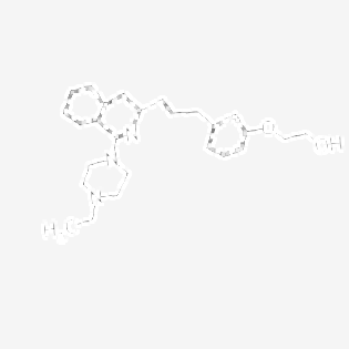 CCN1CCN(c2nc(C=CCc3cccc(OCCO)c3)cc3ccccc23)CC1